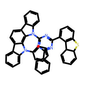 C1=CC2Sc3cccc(-c4nc(-c5ccccc5)nc(-n5c6ccccc6c6ccc7c8ccccc8n(-c8ccccc8)c7c65)n4)c3C2C=C1